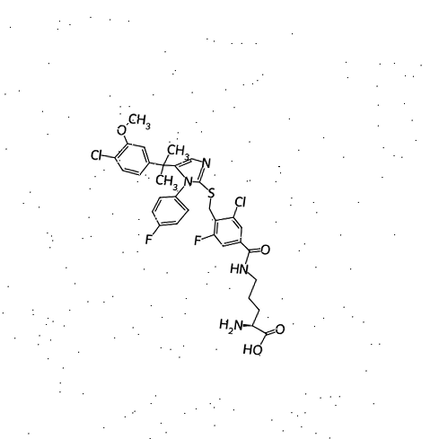 COc1cc(C(C)(C)c2cnc(SCc3c(F)cc(C(=O)NCCC[C@H](N)C(=O)O)cc3Cl)n2-c2ccc(F)cc2)ccc1Cl